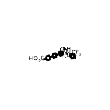 O=C(O)CC1CCC(c2ccc(-c3ccc4c(c3)OCCN4C(=O)Nc3ccccc3C(F)(F)F)cc2)CC1